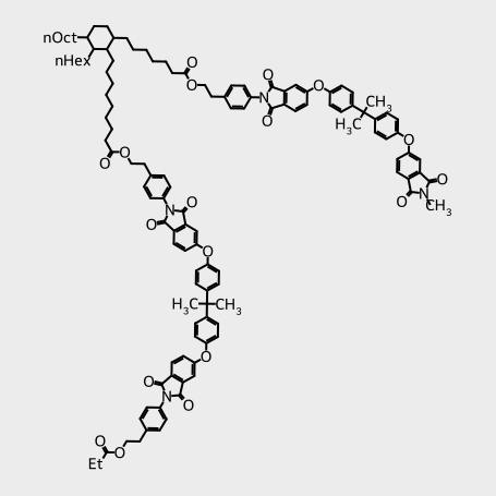 CCCCCCCCC1CCC(CCCCCCC(=O)OCCc2ccc(N3C(=O)c4ccc(Oc5ccc(C(C)(C)c6ccc(Oc7ccc8c(c7)C(=O)N(C)C8=O)cc6)cc5)cc4C3=O)cc2)C(CCCCCCCCC(=O)OCCc2ccc(N3C(=O)c4ccc(Oc5ccc(C(C)(C)c6ccc(Oc7ccc8c(c7)C(=O)N(c7ccc(CCOC(=O)CC)cc7)C8=O)cc6)cc5)cc4C3=O)cc2)C1CCCCCC